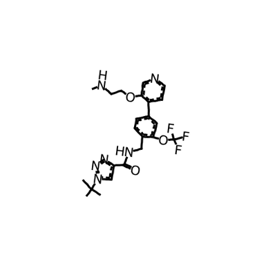 CNCCOc1cnccc1-c1ccc(CNC(=O)c2cn(C(C)(C)C)nn2)c(OC(F)(F)F)c1